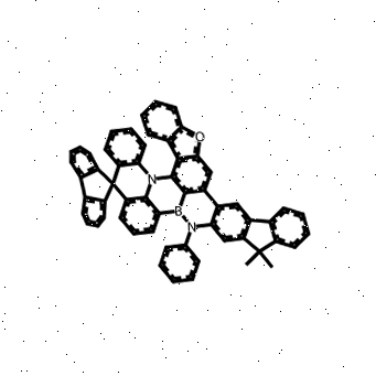 CC1(C)c2ccccc2-c2cc3c(cc21)N(c1ccccc1)B1c2cccc4c2N(c2ccccc2C42c4ccccc4-c4ccccc42)c2c1c-3cc1oc3ccccc3c21